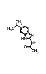 CC(=O)Nc1nc2ccc(C(C)C)cc2[nH]1